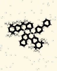 CC1(C)CCC(C)(C)c2cc3c(cc21)-c1c2c(cc4ccccc14)N1c4cc5c(cc4C(C)(C)c4cccc(c41)B2N3c1ccc(-c2ccccc2)cc1)C(C)(C)CCC5(C)C